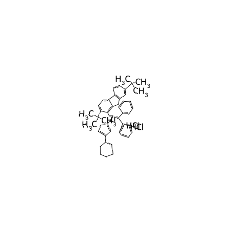 CC(C)(C)c1ccc2c(c1)Cc1c-2ccc(C(C)(C)C)[c]1[Zr]([C]1=CC(C2CCCCC2)=CC1)=[C](c1ccccc1)c1ccccc1.Cl.Cl